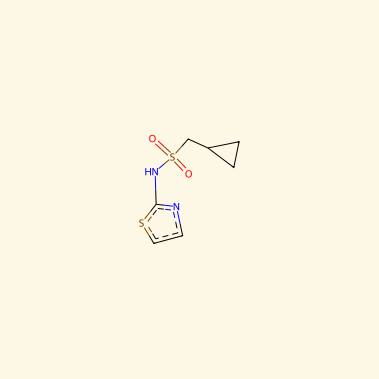 O=S(=O)(CC1CC1)Nc1nccs1